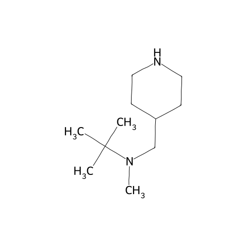 CN(CC1CCNCC1)C(C)(C)C